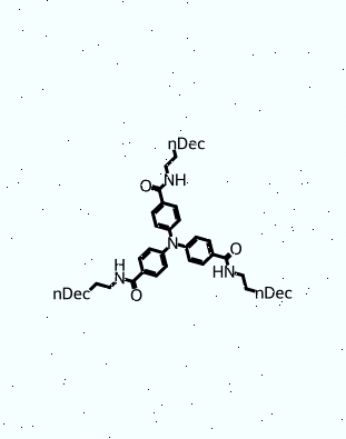 CCCCCCCCCCCCNC(=O)c1ccc(N(c2ccc(C(=O)NCCCCCCCCCCCC)cc2)c2ccc(C(=O)NCCCCCCCCCCCC)cc2)cc1